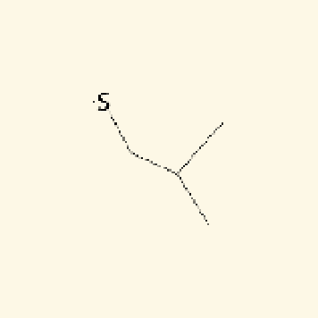 CC(C)C[S]